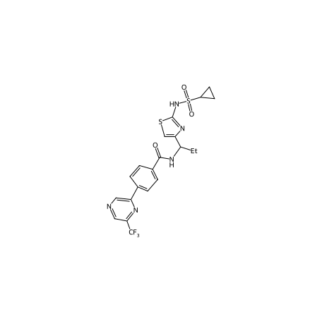 CCC(NC(=O)c1ccc(-c2cncc(C(F)(F)F)n2)cc1)c1csc(NS(=O)(=O)C2CC2)n1